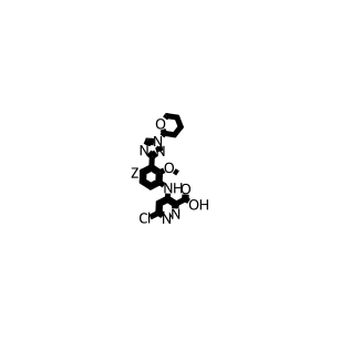 COc1c(Nc2cc(Cl)nnc2C(=O)O)cccc1-c1ncn(C2CCCCO2)n1.[Zn]